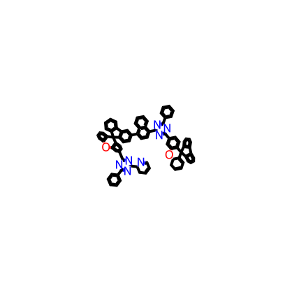 C1=CCC2Oc3cc(-c4nc(-c5ccccc5)nc(-c5ccc(-c6ccc7c(c6)-c6ccccc6C76c7ccccc7Oc7cc(-c8nc(-c9ccccc9)nc(C9CC=CC=N9)n8)ccc76)c6ccccc56)n4)ccc3C3(C2=C1)c1ccccc1-c1ccccc13